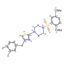 COc1ccc(OC)c(S(=O)(=O)N2CCN(c3nc(Cc4ccc(C)c(C)c4)cs3)CC2)c1